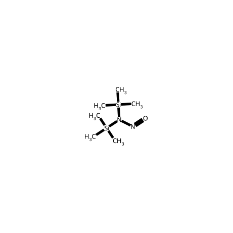 C[Si](C)(C)N(N=O)[Si](C)(C)C